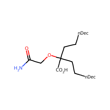 CCCCCCCCCCCCC(CCCCCCCCCCCC)(OCC(N)=O)C(=O)O